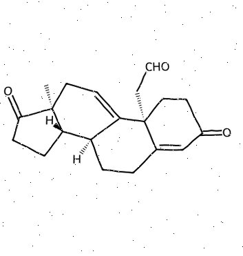 C[C@]12CC=C3[C@@H](CCC4=CC(=O)CC[C@@]43CC=O)[C@@H]1CCC2=O